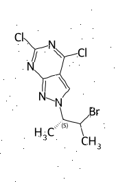 CC(Br)[C@H](C)n1cc2c(Cl)nc(Cl)nc2n1